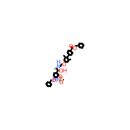 Cc1cc(OCCN[C@@H](C)[C@H](O)c2ccc(OCc3ccccc3)c(NS(C)(=O)=O)c2)cc(C)c1-c1ccc(C(=O)OCc2ccccc2)cc1